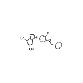 N#Cc1cc(Br)c2ccn(-c3ccc(OCc4ccccc4)c(F)c3)c2c1